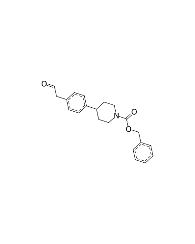 O=CCc1ccc(C2CCN(C(=O)OCc3ccccc3)CC2)cc1